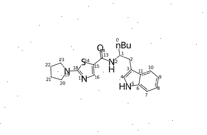 CCCCC(Cc1c[nH]c2ccccc12)NC(=O)c1cnc(N2CCCC2)s1